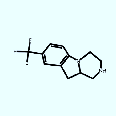 FC(F)(F)c1ccc2c(c1)CC1CNCCN21